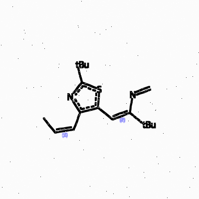 C=N/C(=C\c1sc(C(C)(C)C)nc1/C=C\C)C(C)(C)C